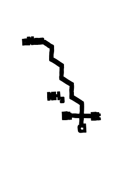 CCCCCCCCCCCCCCCCC(Cl)(CC)CC.N